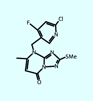 CSc1nc2n(Cc3cnc(Cl)cc3F)c(C)cc(=O)n2n1